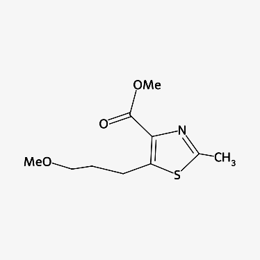 COCCCc1sc(C)nc1C(=O)OC